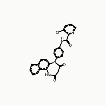 O=C1CC(=O)N(c2ccc(NC(=O)c3ncccc3Cl)cc2)c2ccc3ccccc3c2N1